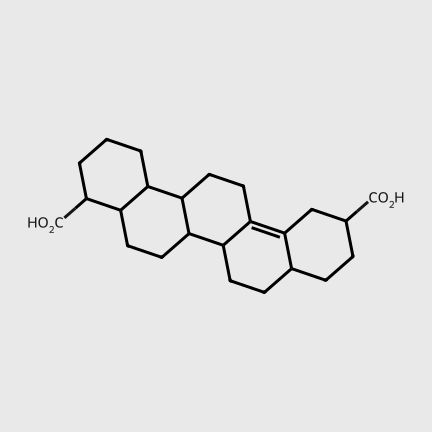 O=C(O)C1CCC2CCC3C(=C2C1)CCC1C3CCC2C(C(=O)O)CCCC21